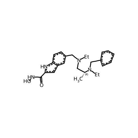 CCN(Cc1ccc2[nH]c(C(=O)NO)cc2c1)C[C@@H](C)N(CC)Cc1ccccc1